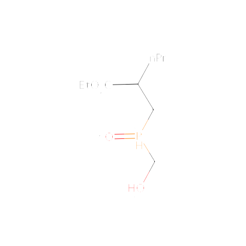 CCCC(C[PH](=O)CO)C(=O)OCC